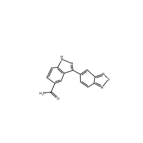 NC(=O)c1ccc2[nH]nc(-c3ccc4nsnc4c3)c2c1